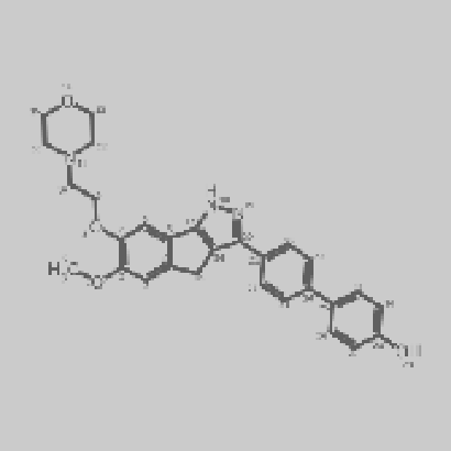 COc1cc2c(cc1OCCN1CCOCC1)-c1[nH]nc(-c3ccc(-c4ccc(O)cc4)cc3)c1C2